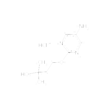 CC(C)(O)CCOc1ncc(N)cn1.Cl